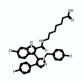 O=C(O)CCCCCCNC(=O)c1[nH]c2cc(Cl)ccc2c1-c1c(-c2ccc(F)cc2)cnn1Cc1ccc(Cl)cc1